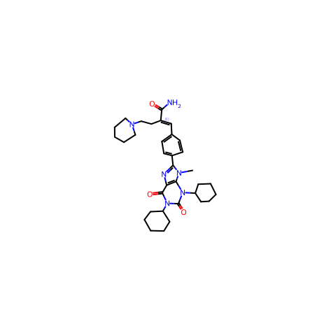 Cn1c(-c2ccc(/C=C(\CCN3CCCCC3)C(N)=O)cc2)nc2c(=O)n(C3CCCCC3)c(=O)n(C3CCCCC3)c21